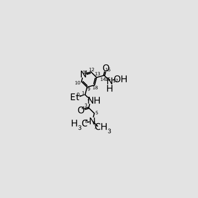 CC[C@H](NC(=O)CN(C)C)c1cncc(C(=O)NO)c1